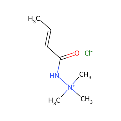 CC=CC(=O)N[N+](C)(C)C.[Cl-]